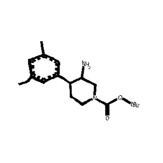 Cc1cc(C)cc(C2CCN(C(=O)OC(C)(C)C)CC2N)c1